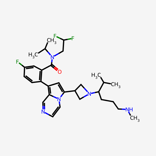 CNCCCC(C(C)C)N1CC(c2cc(-c3ccc(F)cc3C(=O)N(CC(F)F)C(C)C)c3cnccn23)C1